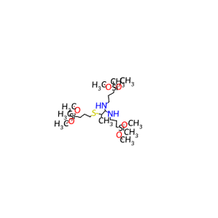 CO[Si](C)(CCCNC(NCCC[Si](C)(OC)OC)C(C)SCCC[Si](C)(OC)OC)OC